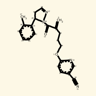 C=C(CCCOc1ccc(C#N)cn1)C(=O)N1N=CCC1c1ccccc1C